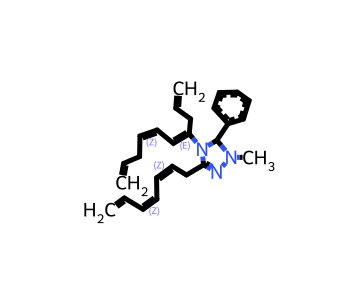 C=C/C=C\C=C/CC1=NN(C)C(c2ccccc2)N1/C(=C/C=C\CC=C)CC=C